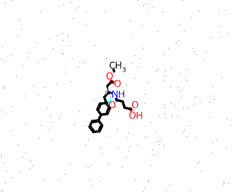 CCOC(=O)C[C@H](CC1(F)C=CC(c2ccccc2)C=C1)NC(=O)CCC(=O)O